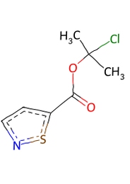 CC(C)(Cl)OC(=O)c1ccns1